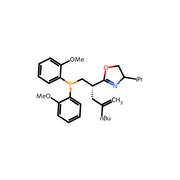 C=C(CCCC)C[C@H](CP(c1ccccc1OC)c1ccccc1OC)C1=NC(C(C)C)CO1